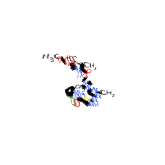 COCCOCC(=O)N[C@H](C(=O)OCCN1CCN(c2cc(Nc3ncc(C(=O)Nc4c(C)cccc4Cl)s3)nc(C)n2)CC1)C(C)C